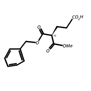 COC(=O)[C@H](CCC(=O)O)C(=O)OCc1ccccc1